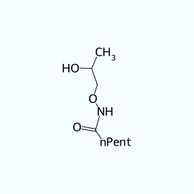 CCCCCC(=O)NOCC(C)O